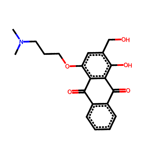 CN(C)CCCOc1cc(CO)c(O)c2c1C(=O)c1ccccc1C2=O